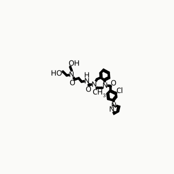 C[C@@H]1CN(C(=O)c2ccc(-n3cccn3)cc2Cl)c2ccccc2CN1C(=O)NCCC(=O)N(CCO)CCO